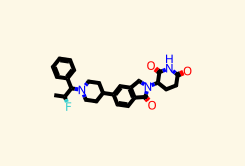 CC(F)C(c1ccccc1)N1CCC(c2ccc3c(c2)CN(C2CCC(=O)NC2=O)C3=O)CC1